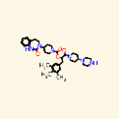 Cc1cc(CC(OC(=O)N2CCC(N3CCc4ccccc4NC3=O)CC2)C(=O)N2CCC(N3CCNCC3)CC2)cc(C)c1C